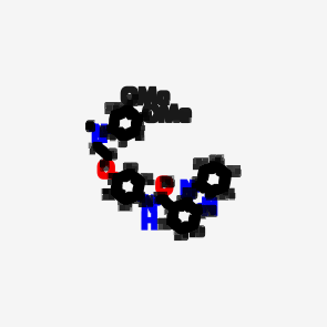 COc1ccc(N(C)CCOc2ccc(NC(=O)c3cccc4nc5ccccc5nc34)cc2)cc1OC